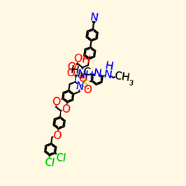 CCNc1ccc(S(=O)(=O)N2Cc3cc4c(cc3C[C@H]2C(=O)NC(Cc2ccc(-c3ccc(C#N)cc3)cc2)C(=O)O)OC[C@H](c2ccc(OCc3ccc(Cl)c(Cl)c3)cc2)O4)c(C)n1